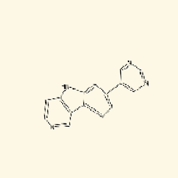 c1cc2[nH]c3cc(-c4cncnc4)ccc3c2cn1